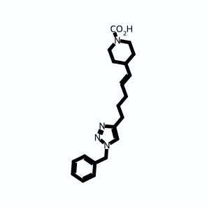 O=C(O)N1CCC(C=CCCCc2cn(Cc3ccccc3)nn2)CC1